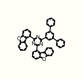 c1ccc(-c2cc(-c3ccccc3)cc(-c3nc(-c4cccc5oc6ccccc6c45)nc(-c4cccc5oc6ccccc6c45)n3)c2)cc1